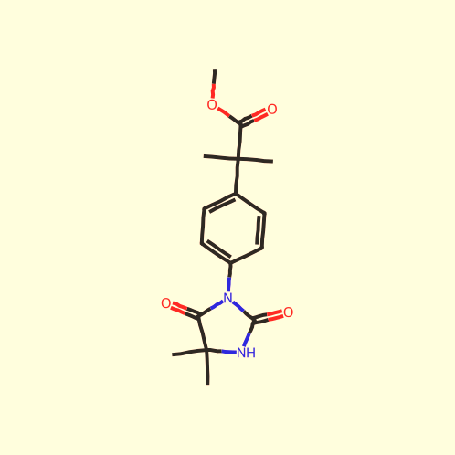 COC(=O)C(C)(C)c1ccc(N2C(=O)NC(C)(C)C2=O)cc1